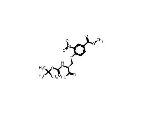 COC(=O)c1ccc(OC[C@H](NC(=O)OC(C)(C)C)C(=O)O)c([N+](=O)[O-])c1